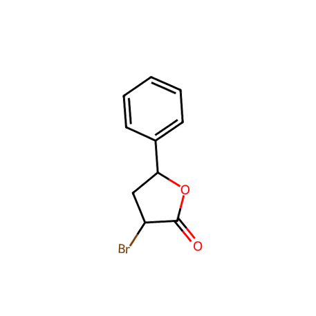 O=C1OC(c2ccccc2)CC1Br